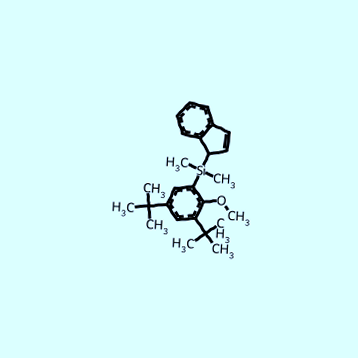 COc1c(C(C)(C)C)cc(C(C)(C)C)cc1[Si](C)(C)C1C=Cc2ccccc21